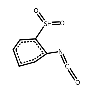 O=C=Nc1ccccc1[SH](=O)=O